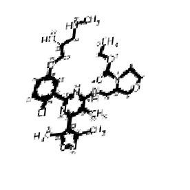 CCOC(=O)N1CCOCC1CNc1nc(-c2cc(OC[C@H](O)CNC)ccc2Cl)nc(-c2c(C)noc2C)c1C